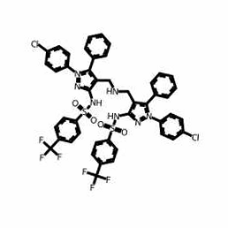 O=S(=O)(Nc1nn(-c2ccc(Cl)cc2)c(-c2ccccc2)c1CNCc1c(NS(=O)(=O)c2ccc(C(F)(F)F)cc2)nn(-c2ccc(Cl)cc2)c1-c1ccccc1)c1ccc(C(F)(F)F)cc1